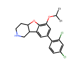 CCC(CC)Oc1cc(-c2ccc(Cl)cc2Cl)cc2c1OC1CCNCC21